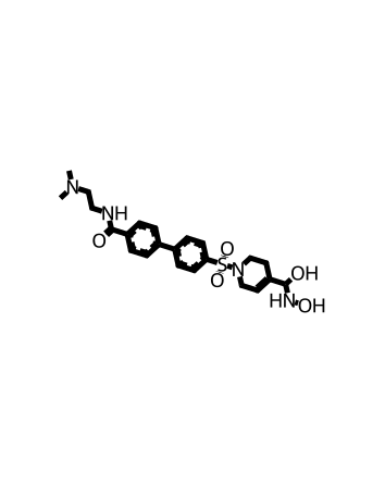 CN(C)CCNC(=O)c1ccc(-c2ccc(S(=O)(=O)N3CC=C(C(O)NO)CC3)cc2)cc1